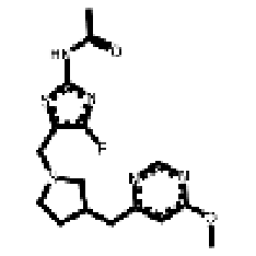 COc1cc(CC2CCN(Cc3sc(NC(C)=O)nc3F)C2)ncn1